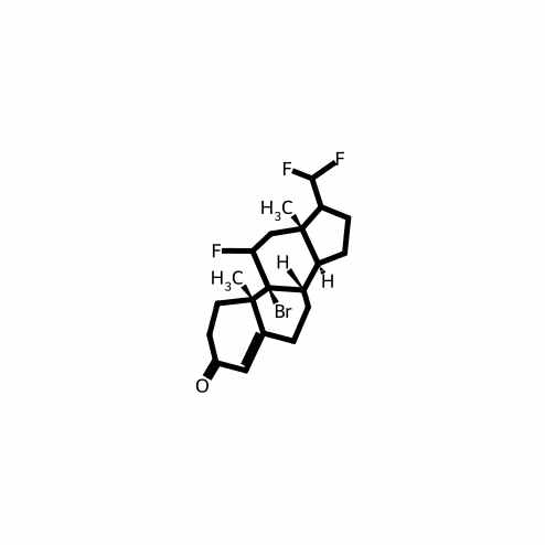 C[C@]12CCC(=O)C=C1CC[C@H]1[C@@H]3CCC(C(F)F)[C@@]3(C)CC(F)[C@]12Br